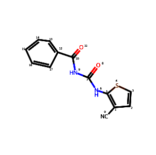 N#Cc1ccsc1NC(=O)NC(=O)c1ccccc1